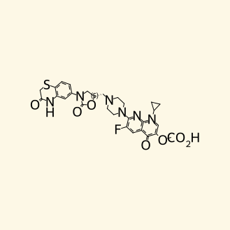 O=C1CSc2ccc(N3C[C@H](CN4CCN(c5nc6c(cc5F)c(=O)c(OC(=O)O)cn6C5CC5)CC4)OC3=O)cc2N1